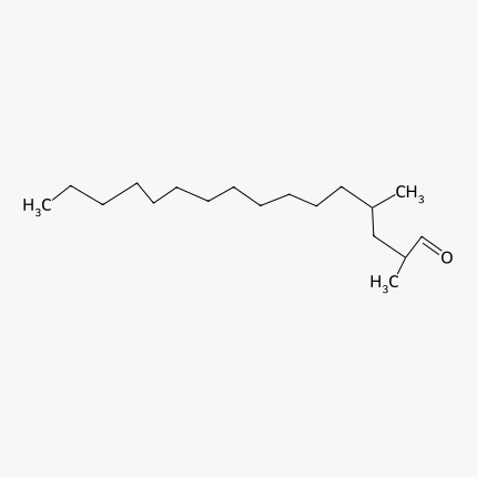 CCCCCCCCCCCCC(C)CC(C)C=O